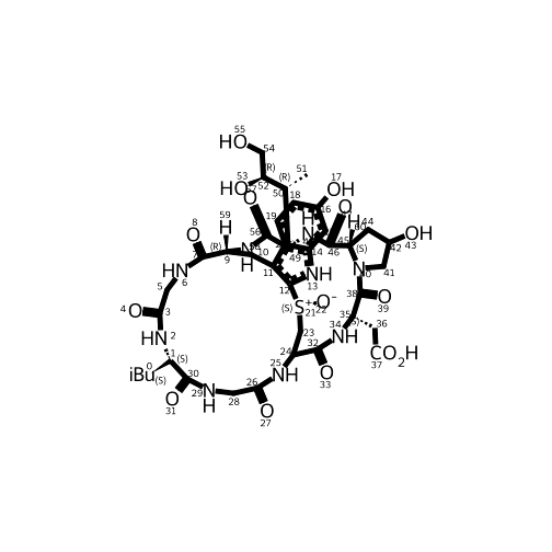 CC[C@H](C)[C@@H]1NC(=O)CNC(=O)[C@H]2Cc3c([nH]c4cc(O)ccc34)[S@+]([O-])CC(NC(=O)CNC1=O)C(=O)N[C@@H](CC(=O)O)C(=O)N1CC(O)C[C@H]1C(=O)N[C@@H]([C@@H](C)[C@@H](O)CO)C(=O)N2